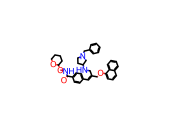 O=C(NOC1CCCCO1)c1ccc(C=C(CNC2CCN(Cc3ccccc3)C2)COc2cccc3ccccc23)cc1